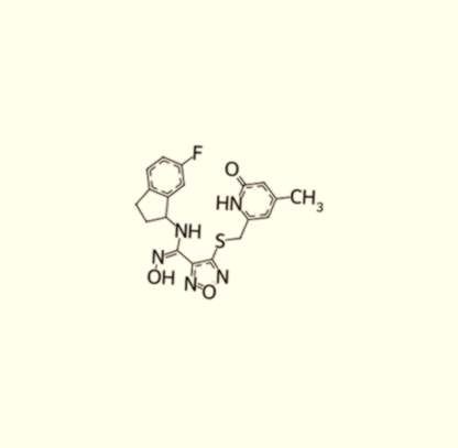 Cc1cc(CSc2nonc2/C(=N\O)NC2CCc3ccc(F)cc32)[nH]c(=O)c1